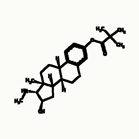 CN[C@H]1[C@H](O)C[C@H]2[C@@H]3CCc4cc(OC(=O)C(C)(C)C)ccc4[C@H]3CC[C@@]21C